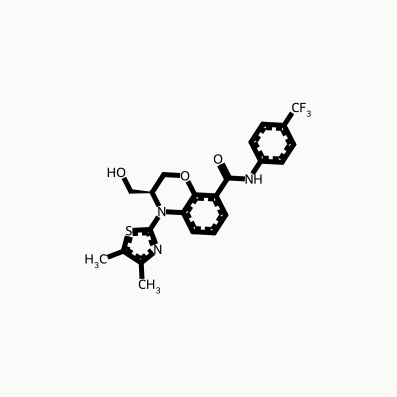 Cc1nc(N2c3cccc(C(=O)Nc4ccc(C(F)(F)F)cc4)c3OC[C@@H]2CO)sc1C